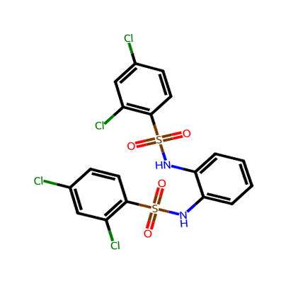 O=S(=O)(Nc1ccccc1NS(=O)(=O)c1ccc(Cl)cc1Cl)c1ccc(Cl)cc1Cl